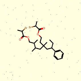 CCC(CC(C)(CCOC(=O)C(C)Br)CC(C)C(C)COC(=O)C(C)Br)c1ccccc1